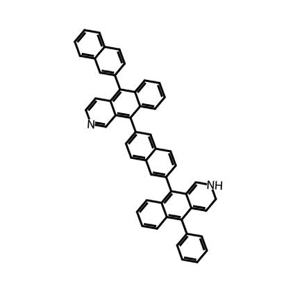 C1=c2c(-c3ccccc3)c3ccccc3c(-c3ccc4cc(-c5c6ccccc6c(-c6ccc7ccccc7c6)c6ccncc56)ccc4c3)c2=CNC1